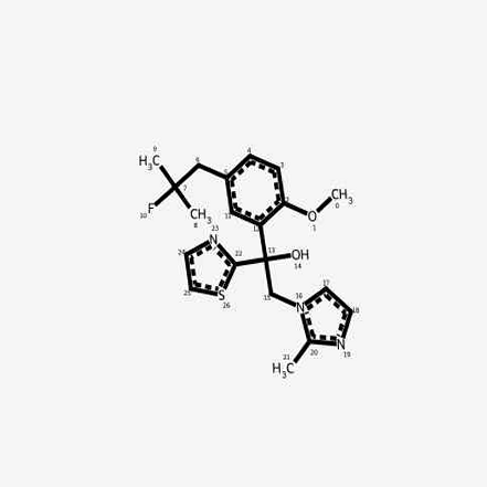 COc1ccc(CC(C)(C)F)cc1C(O)(Cn1ccnc1C)c1nccs1